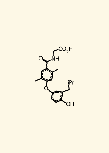 Cc1cc(C(=O)NCC(=O)O)c(C)cc1Oc1ccc(O)c(CC(C)C)c1